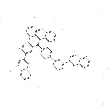 c1ccc(-c2ccc(-c3ccc4ccccc4c3)cc2N(c2ccc(-c3cccc(-c4ccc5ccccc5c4)c3)cc2)c2cccc3ccccc23)cc1